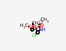 CCOC(=O)C[C@H]1O[C@H](c2cccc(OCC)c2OCC)c2cc(Cl)ccc2NC1=O